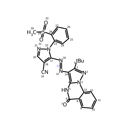 CC(C)(C)c1nn2c([nH]c(=O)c3ccccc32)c1/N=N/c1c(C#N)cnn1-c1ccccc1S(C)(=O)=O